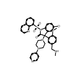 CNCc1ccc(OC)c(C2(N3CCN(c4ccncc4)CC3)C(=O)N(S(=O)(=O)c3cccc4cccnc34)c3ccc(Cl)cc32)c1